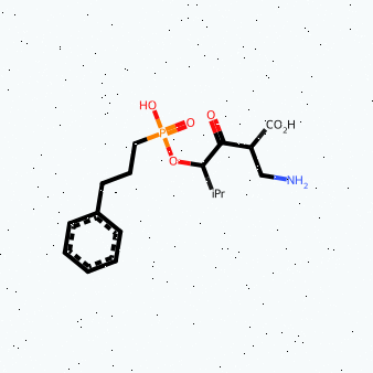 CC(C)C(OP(=O)(O)CCCc1ccccc1)C(=O)C(CN)C(=O)O